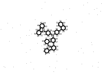 c1ccc(-n2c3ccccc3c3cccc(-c4ccc(N(c5ccc(-c6cccc7ccccc67)cc5)c5ccc(-n6c7ccccc7c7ccccc76)cc5)cc4)c32)cc1